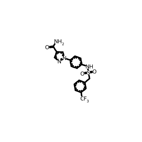 NC(=O)c1cnn(-c2ccc(NS(=O)(=O)Cc3cccc(C(F)(F)F)c3)cc2)c1